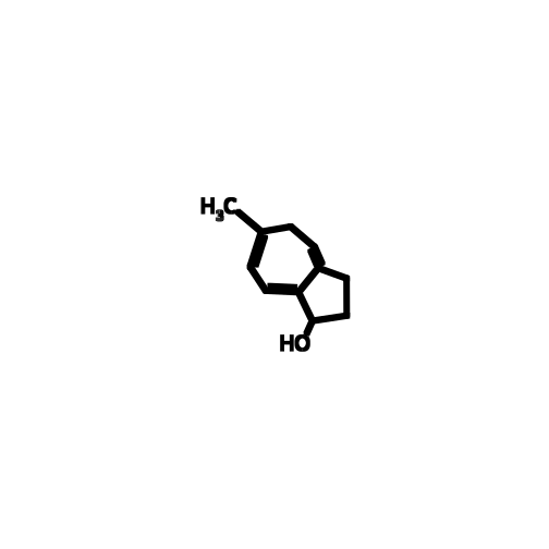 CC1=CC=C2C(=CC1)CCC2O